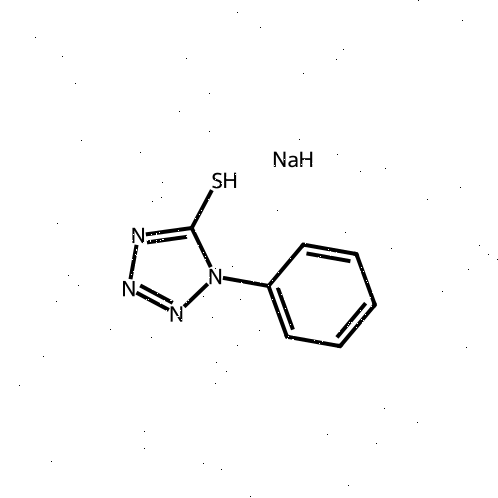 Sc1nnnn1-c1ccccc1.[NaH]